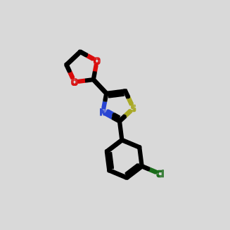 ClC1=CC=CC(c2nc(C3OCCO3)cs2)C1